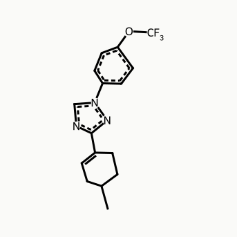 CC1CC=C(c2ncn(-c3ccc(OC(F)(F)F)cc3)n2)CC1